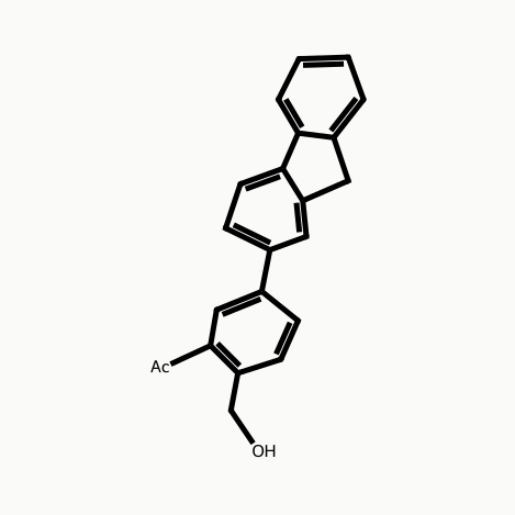 CC(=O)c1cc(-c2ccc3c(c2)Cc2ccccc2-3)ccc1CO